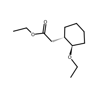 CCOC(=O)C[C@@H]1CCCC[C@H]1OCC